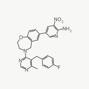 Cc1ncnc(N2CCOc3ccc(-c4cnc(N)c([N+](=O)[O-])c4)cc3C2)c1Cc1ccc(F)cc1